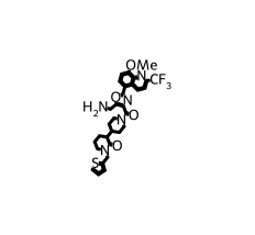 COc1ccc(-c2nc(C(=O)N3CCC(C4CCCN(Cc5cccs5)C4=O)CC3)c(CN)o2)c2ccc(C(F)(F)F)nc12